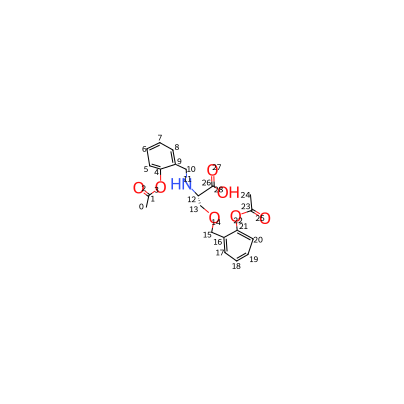 CC(=O)Oc1ccccc1CN[C@@H](COCc1ccccc1OC(C)=O)C(=O)O